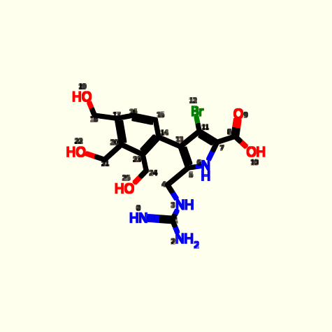 N=C(N)NCc1[nH]c(C(=O)O)c(Br)c1-c1ccc(CO)c(CO)c1CO